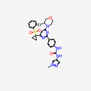 CC[C@H]1COCCN1c1cc(C2(S(=O)(=O)c3ccccc3)CC2)nc(-c2ccc(NC(=O)Nc3cnn(C)c3)cc2)n1